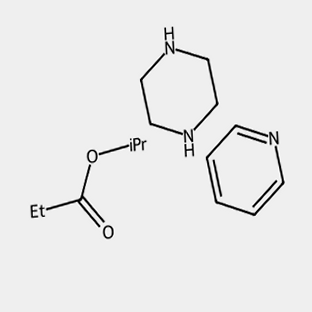 C1CNCCN1.CCC(=O)OC(C)C.c1ccncc1